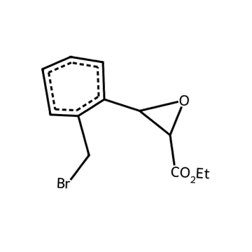 CCOC(=O)C1OC1c1ccccc1CBr